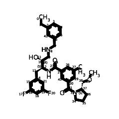 CCc1cccc(CNC[C@@H](O)[C@H](Cc2cc(F)cc(F)c2)NC(=O)c2cc(C)cc(C(=O)N3CCC[C@H]3COC)c2)c1